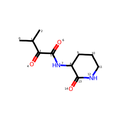 CC(C)C(=O)C(=O)NC1CCCNC1=O